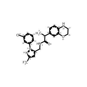 CC(C(=O)NCc1cc(C(F)(F)F)nn1-c1cccc(Cl)c1)c1ccc2c(c1)OCCN2